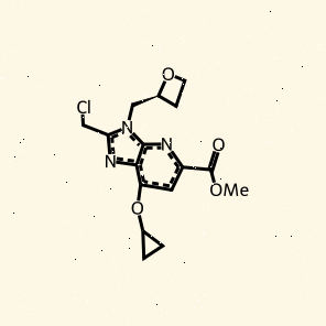 COC(=O)c1cc(OC2CC2)c2nc(CCl)n(C[C@@H]3CCO3)c2n1